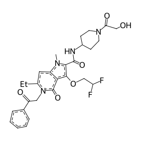 CCc1cc2c(c(OCC(F)F)c(C(=O)NC3CCN(C(=O)CO)CC3)n2C)c(=O)n1CC(=O)c1ccccc1